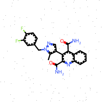 Cc1c(-c2c(C(N)=O)nc3ccccc3c2C(N)=O)cnn1Cc1ccc(F)c(F)c1